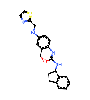 c1ccc2c(c1)CC[C@H]2NC1=Nc2ccc(NCc3nccs3)cc2CO1